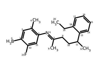 Bc1cc(C)c(/N=C(\C)CCC(C)c2ccccc2CC)cc1F